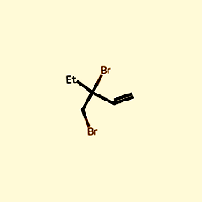 C=CC(Br)(CC)CBr